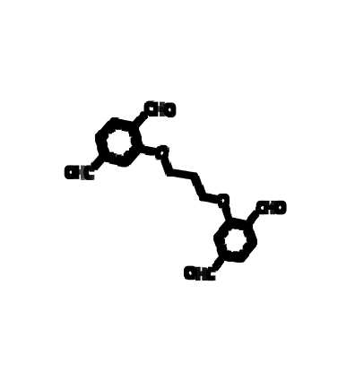 O=Cc1ccc(C=O)c(OCCCOc2cc(C=O)ccc2C=O)c1